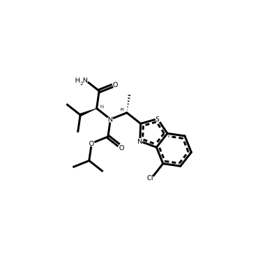 CC(C)OC(=O)N([C@H](C)c1nc2c(Cl)cccc2s1)[C@H](C(N)=O)C(C)C